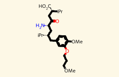 COCCCOc1cc(C[C@@H](C[C@H](N)C(=O)C[C@H](C(=O)O)C(C)C)C(C)C)ccc1OC